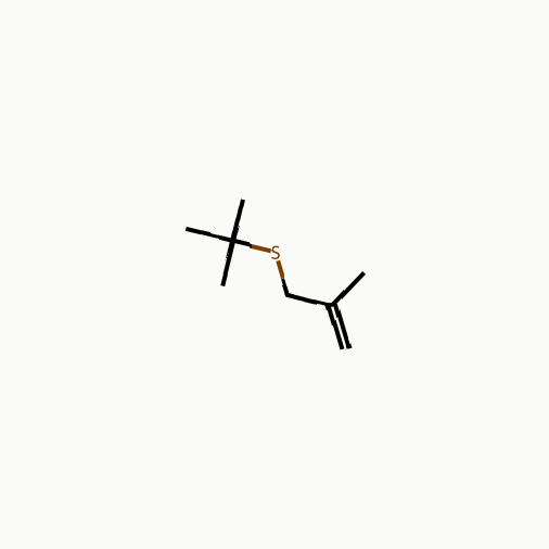 C=C(C)CSC(C)(C)C